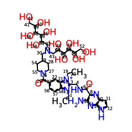 CCn1c(CNC(=O)c2nc3cc[nH]c3nc2N)[n+](CC)c2cc(C(=O)N3CCC(CN(C[C@H](O)[C@@H](O)[C@H](O)[C@H](O)CO)C[C@H](O)[C@@H](O)[C@H](O)[C@H](O)CO)CC3)ccc21